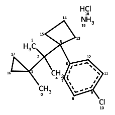 CC1(C(C)(C)C2(c3ccc(Cl)cc3)CCC2)CC1.Cl.N